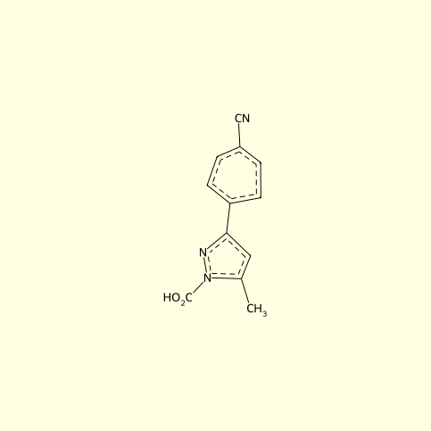 Cc1cc(-c2ccc(C#N)cc2)nn1C(=O)O